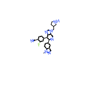 Cn1ncc2cc(-c3ncc4c(ncn4CC4CCNC4)c3-c3ccc(C#N)c(F)c3)ccc21